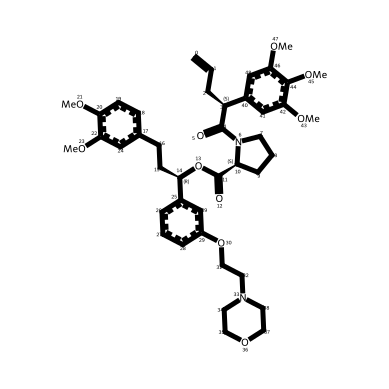 C=CC[C@H](C(=O)N1CCC[C@H]1C(=O)O[C@H](CCc1ccc(OC)c(OC)c1)c1cccc(OCCN2CCOCC2)c1)c1cc(OC)c(OC)c(OC)c1